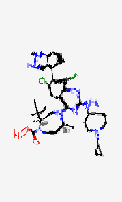 C[C@H]1CN(C(=O)O)[C@](C)(C(C)(C)C)CN1c1nc(NC2CCN(C3CC3)CC2)nc2c(F)c(-c3cccc4c3cnn4C)c(Cl)cc12